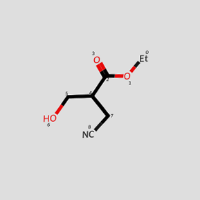 CCOC(=O)C(CO)CC#N